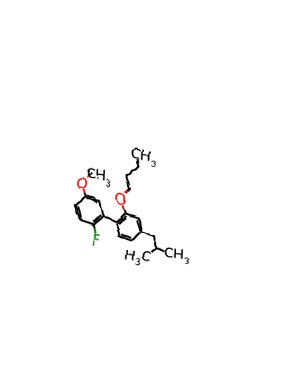 CCCCOc1cc(CC(C)C)ccc1-c1cc(OC)ccc1F